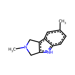 Cc1ccc2[nH]c3c(c2c1)CN(C)C3